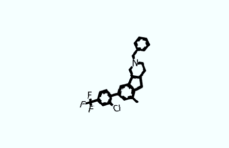 Cc1cc(-c2ccc(C(F)(F)F)cc2Cl)cc2c1CC1CCN(Cc3ccccc3)CC21